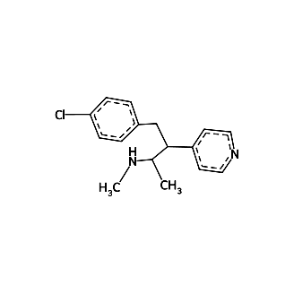 CNC(C)C(Cc1ccc(Cl)cc1)c1ccncc1